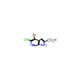 O=C(O)c1cc2c(Br)c(Cl)ncc2[nH]1